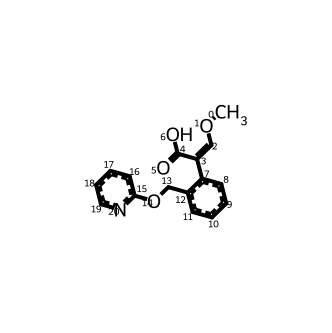 COC=C(C(=O)O)c1ccccc1COc1ccccn1